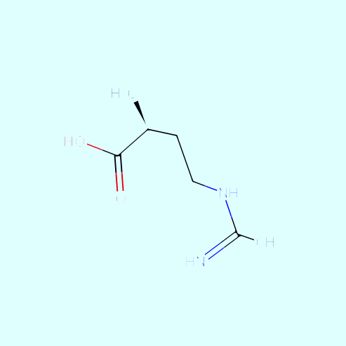 CC(=N)NCC[C@H](C)C(=O)O